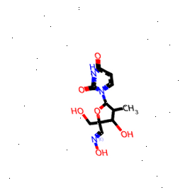 CC1C(n2ccc(=O)[nH]c2=O)OC(/C=N/O)(CO)C1O